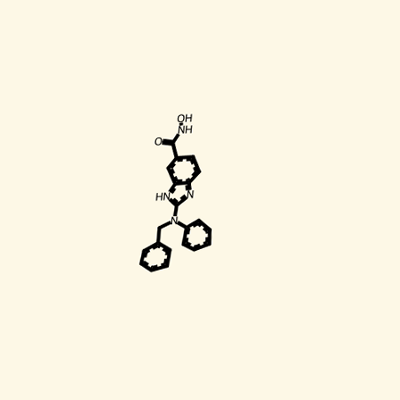 O=C(NO)c1ccc2nc(N(Cc3ccccc3)c3ccccc3)[nH]c2c1